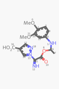 COc1ccc(NC(C)OC(=O)C(=N)n2cc(C(=O)O)cn2)cc1OC